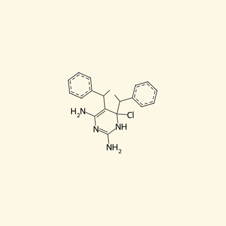 CC(C1=C(N)N=C(N)NC1(Cl)C(C)c1ccccc1)c1ccccc1